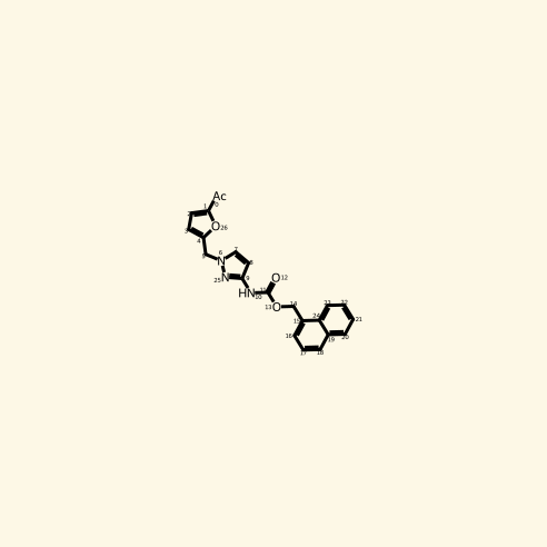 CC(=O)c1ccc(Cn2ccc(NC(=O)OCc3cccc4ccccc34)n2)o1